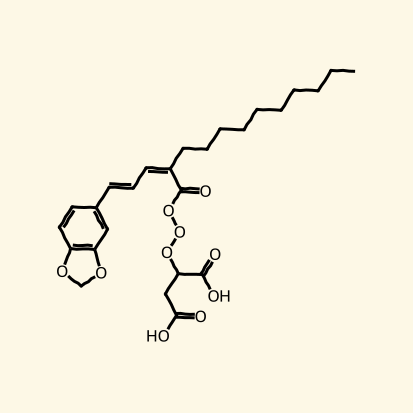 CCCCCCCCCCC(=CC=Cc1ccc2c(c1)OCO2)C(=O)OOOC(CC(=O)O)C(=O)O